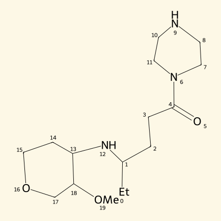 CCC(CCC(=O)N1CCNCC1)NC1CCOCC1OC